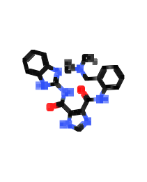 CN(C)Cc1ccccc1NC(=O)c1nc[nH]c1C(=O)Nc1nc2ccccc2[nH]1